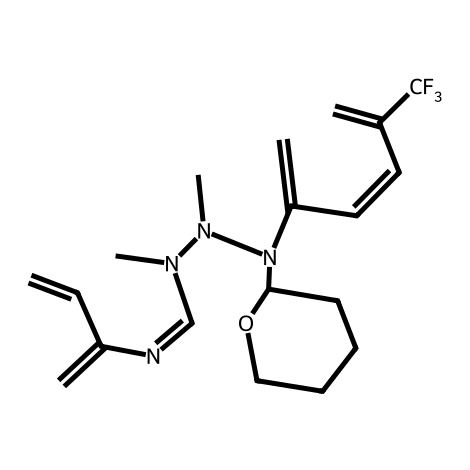 C=CC(=C)/N=C\N(C)N(C)N(C(=C)/C=C\C(=C)C(F)(F)F)C1CCCCO1